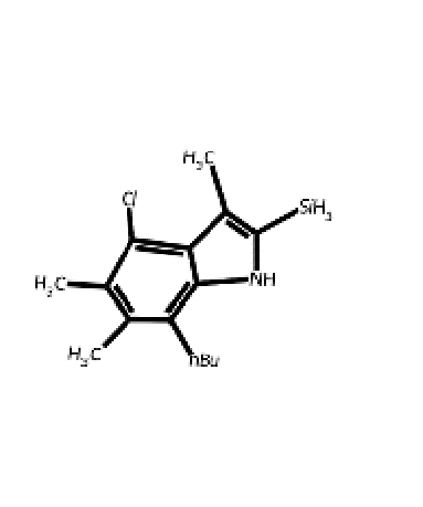 CCCCc1c(C)c(C)c(Cl)c2c(C)c([SiH3])[nH]c12